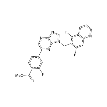 COC(=O)c1ccc(-c2cnc3ncn(Cc4c(F)cc5ncccc5c4F)c3n2)cc1F